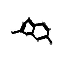 Cc1[c]c2cc(C)ccc2cc1